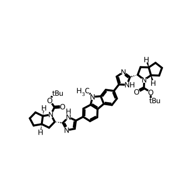 Cn1c2cc(-c3cnc([C@@H]4C[C@H]5CCC[C@H]5N4C(=O)OC(C)(C)C)[nH]3)ccc2c2ccc(-c3cnc([C@@H]4C[C@@H]5CCC[C@@H]5N4C(=O)OC(C)(C)C)[nH]3)cc21